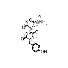 CC(C)[C@H](N)C(=O)N[C@@H](SC(=O)N[C@@H](Cc1ccc(O)cc1)C(N)=O)C(N)=O